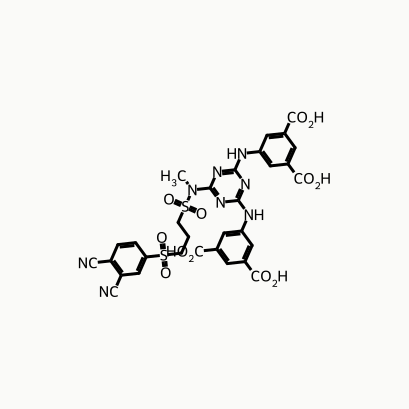 CN(c1nc(Nc2cc(C(=O)O)cc(C(=O)O)c2)nc(Nc2cc(C(=O)O)cc(C(=O)O)c2)n1)S(=O)(=O)CCCS(=O)(=O)c1ccc(C#N)c(C#N)c1